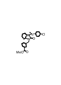 COC(=O)c1cccc(CN2C(=O)[C@@]3(C[C@H]3c3ccc(Cl)cc3)c3ccccc32)c1